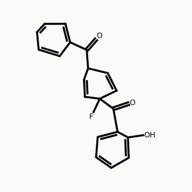 O=C(c1ccccc1)C1C=CC(F)(C(=O)c2ccccc2O)C=C1